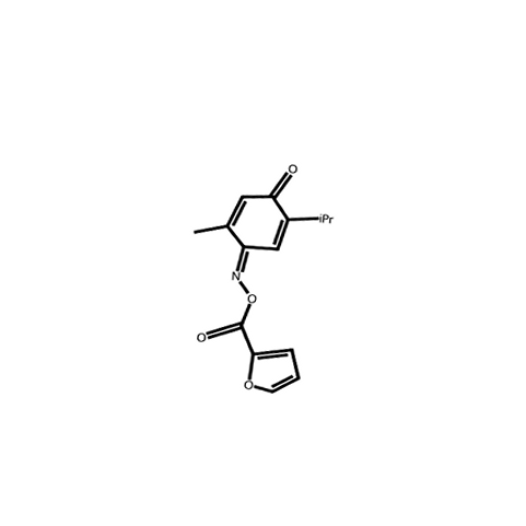 CC1=CC(=O)C(C(C)C)=C/C1=N\OC(=O)c1ccco1